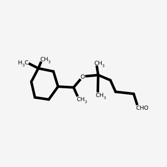 CC(OC(C)(C)CCCC=O)C1CCCC(C)(C)C1